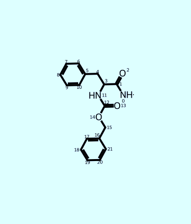 [NH]C(=O)C(Cc1ccccc1)NC(=O)OCc1ccccc1